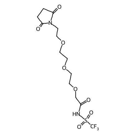 O=C(COCCOCCOCCN1C(=O)CCC1=O)NS(=O)(=O)C(F)(F)F